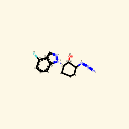 [N-]=[N+]=NC1CCC[C@H](n2ncc3c(F)cccc32)[C@H]1O